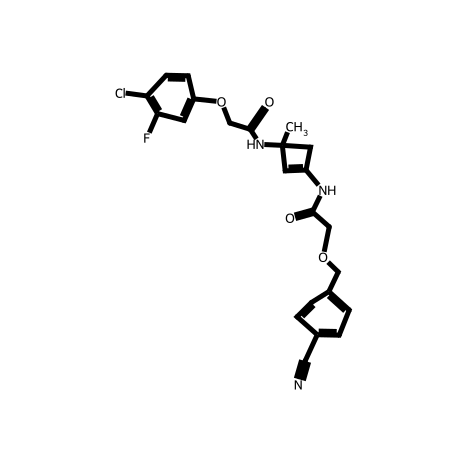 CC1(NC(=O)COc2ccc(Cl)c(F)c2)C=C(NC(=O)COCc2ccc(C#N)cc2)C1